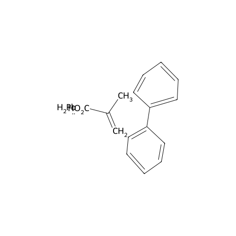 C=C(C)C(=O)O.[PbH2].c1ccc(-c2ccccc2)cc1